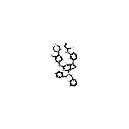 C=CC(=O)Nc1cccc(-n2cnc3c(N(Cc4ccccc4)Cc4ccccc4)nc(Nc4ccc(N5CCOCC5)c(Cl)c4)nc32)c1